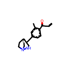 C=CC(=O)c1ccc(C2CNN3CCC2CC3)cc1C